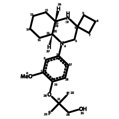 COc1cc(N2CC3(CCC3)N[C@H]3CCCC[C@@H]32)ccc1OC(F)(F)CO